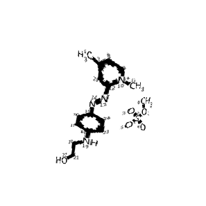 COS(=O)(=O)[O-].Cc1cc[n+](C)c(N=Nc2ccc(NCCO)cc2)c1